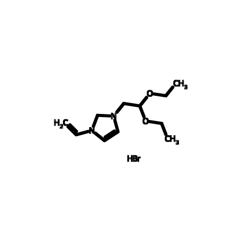 Br.C=CN1C=CN(CC(OCC)OCC)C1